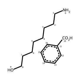 NCCCCCCCCO.O=C(O)c1ccccc1